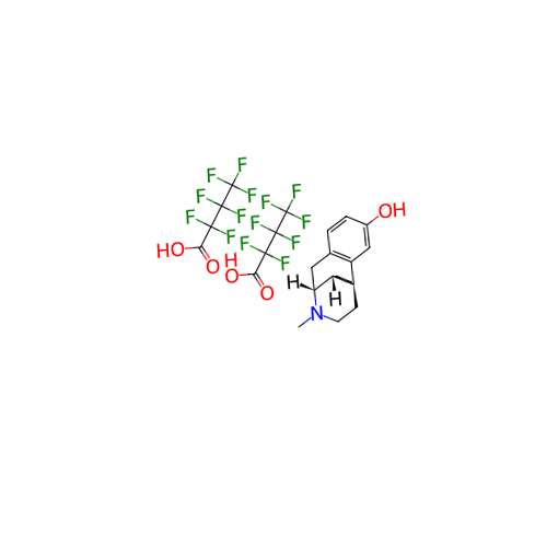 CN1CC[C@]23CCCC[C@H]2[C@H]1Cc1ccc(O)cc13.O=C(O)C(F)(F)C(F)(F)C(F)(F)F.O=C(O)C(F)(F)C(F)(F)C(F)(F)F